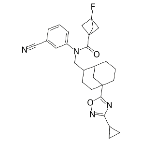 N#Cc1cccc(N(CC2CCC3(c4nc(C5CC5)no4)CCCC2C3)C(=O)C23CC(F)(C2)C3)c1